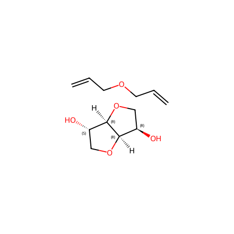 C=CCOCC=C.O[C@@H]1CO[C@H]2[C@@H]1OC[C@@H]2O